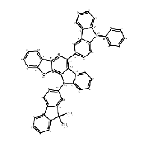 CC1(C)c2ccccc2-c2ccc(-n3c4ccccc4c4c(-c5ccc6c(c5)c5ccccc5n6-c5ccccc5)cc5c6ccccc6oc5c43)cc21